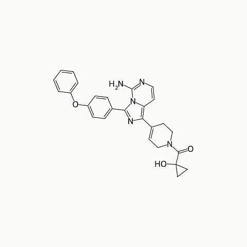 Nc1nccc2c(C3=CCN(C(=O)C4(O)CC4)CC3)nc(-c3ccc(Oc4ccccc4)cc3)n12